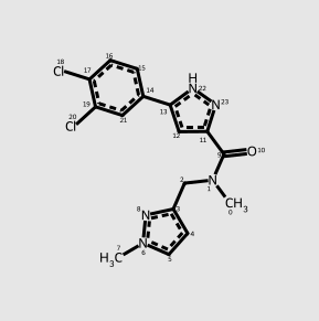 CN(Cc1ccn(C)n1)C(=O)c1cc(-c2ccc(Cl)c(Cl)c2)[nH]n1